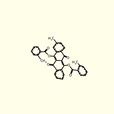 Cc1ccc2c(c1)C(OC(=O)c1ccccc1C)=C1C(=O)c3ccccc3C(OC(=O)c3ccccc3C)=C1C2=O